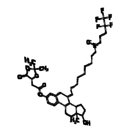 CC1(C)OC(=O)C(CC(=O)Oc2ccc3c(c2)CC(CCCCCCCCC[S+]([O-])CCCC(F)(F)C(F)(F)F)C2C3CCC3(C)C(O)CCC23)O1